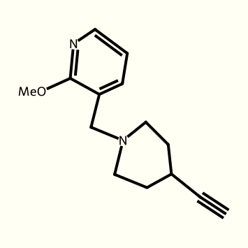 C#CC1CCN(Cc2cccnc2OC)CC1